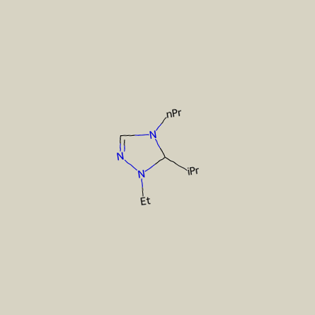 CCCN1C=NN(CC)C1C(C)C